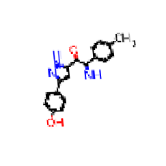 Cc1ccc(C(=N)C(=O)c2cc(-c3ccc(O)cc3)n[nH]2)cc1